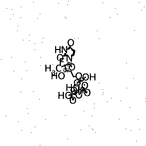 CC1(F)[C@@H](O)C(COP(=O)(O)OP(=O)(O)OP(=O)(O)O)O[C@H]1n1ccc(=O)[nH]c1=O